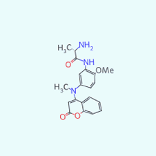 COc1ccc(N(C)c2cc(=O)oc3ccccc23)cc1NC(=O)[C@H](C)N